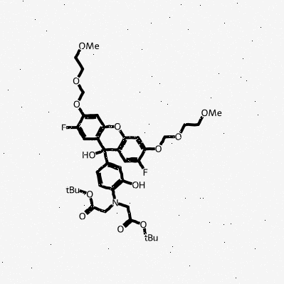 COCCOCOc1cc2c(cc1F)C(O)(c1ccc(N(CC(=O)OC(C)(C)C)CC(=O)OC(C)(C)C)c(O)c1)c1cc(F)c(OCOCCOC)cc1O2